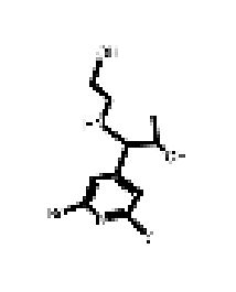 CC(O)C(NCCO)c1cc(Cl)nc(Br)c1